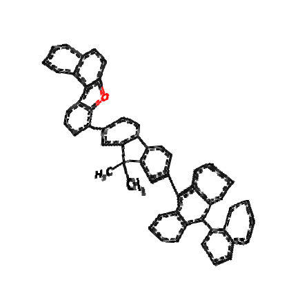 CC1(C)c2cc(-c3c4ccccc4c(-c4cccc5ccccc45)c4ccccc34)ccc2-c2ccc(-c3cccc4c3oc3ccc5ccccc5c34)cc21